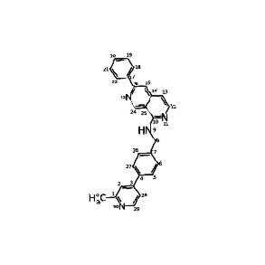 Cc1cc(-c2ccc(CNc3nccc4cc(-c5ccccc5)ncc34)cc2)ccn1